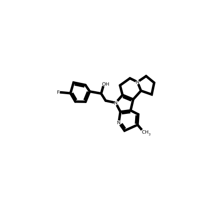 Cc1cnc2c(c1)c1c(n2CC(O)c2ccc(F)cc2)CCN2CCCC12